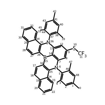 Cc1cc(C)c(N2c3cc(SC(F)(F)F)cc4c3B(c3ccc5ccccc5c32)c2ccc3ccccc3c2N4c2c(C)cc(C)cc2C)c(C)c1